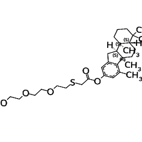 Cc1cc(OC(=O)CSCCOCCOCCO)cc2c1[C@]1(C)CC[C@H]3C(C)(C)CCC[C@]3(C)[C@@H]1C2